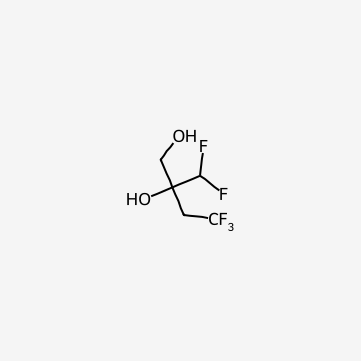 OCC(O)(CC(F)(F)F)C(F)F